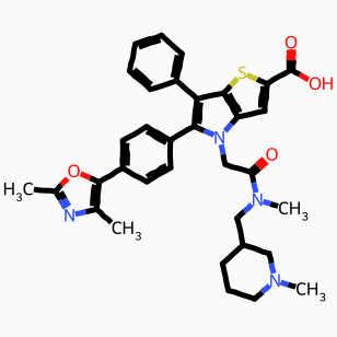 Cc1nc(C)c(-c2ccc(-c3c(-c4ccccc4)c4sc(C(=O)O)cc4n3CC(=O)N(C)CC3CCCN(C)C3)cc2)o1